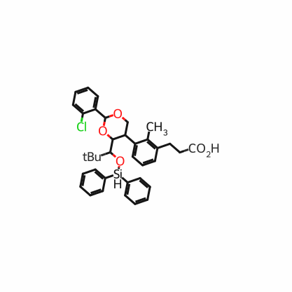 Cc1c(CCC(=O)O)cccc1C1COC(c2ccccc2Cl)OC1C(O[SiH](c1ccccc1)c1ccccc1)C(C)(C)C